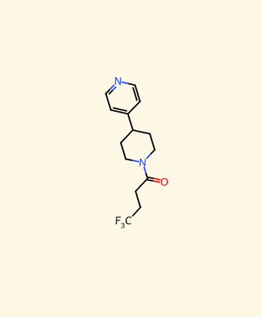 O=C(CCC(F)(F)F)N1CCC(c2ccncc2)CC1